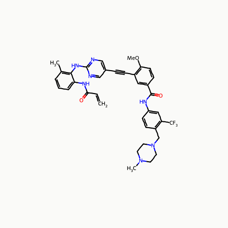 C=CC(=O)Nc1cccc(C)c1Nc1ncc(C#Cc2cc(C(=O)Nc3ccc(CN4CCN(C)CC4)c(C(F)(F)F)c3)ccc2OC)cn1